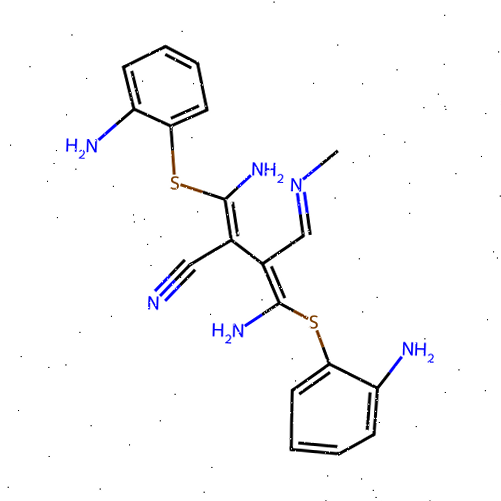 C/N=C/C(=C(/N)Sc1ccccc1N)C(/C#N)=C(\N)Sc1ccccc1N